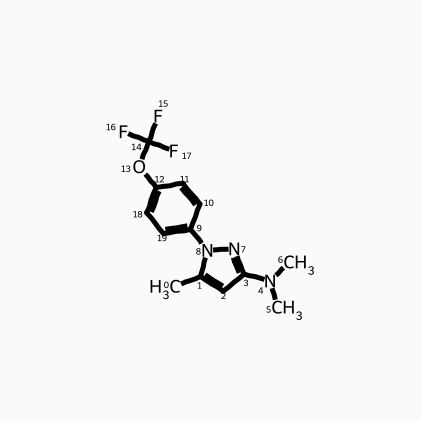 Cc1cc(N(C)C)nn1-c1ccc(OC(F)(F)F)cc1